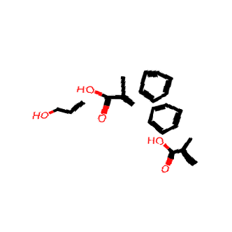 C=C(C)C(=O)O.C=C(C)C(=O)O.CCCO.c1ccccc1.c1ccccc1